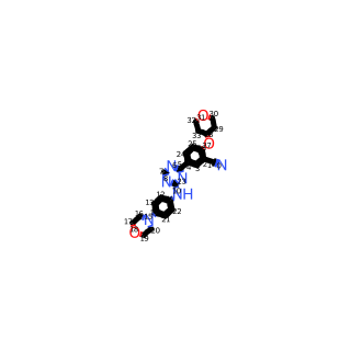 N#Cc1cc(-c2ncnc(Nc3ccc(N4CCOCC4)cc3)n2)ccc1OC1CCOCC1